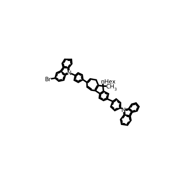 CCCCCCC1(C)C2=C(C=CC(c3ccc(-n4c5ccccc5c5cc(Br)ccc54)cc3)=CC2)c2ccc(-c3ccc(-n4c5ccccc5c5ccccc54)cc3)cc21